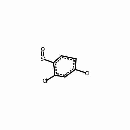 O=[S+]c1ccc(Cl)cc1Cl